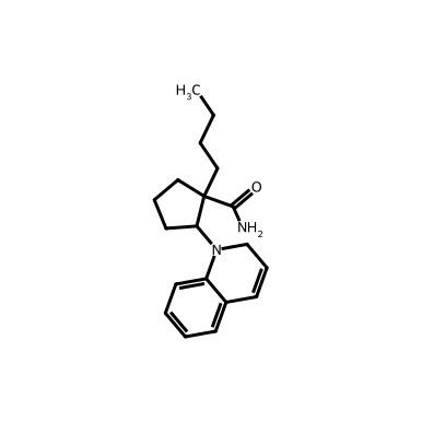 CCCCC1(C(N)=O)CCCC1N1CC=Cc2ccccc21